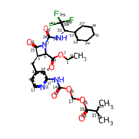 CCOC(=O)C1[C@@H](Cc2ccnc(NC(=O)OCOC(=O)C(C)C)c2)C(=O)N1C(=O)N[C@@H](C1CCCCC1)C(F)(F)F